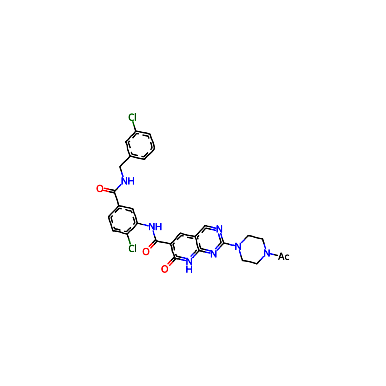 CC(=O)N1CCN(c2ncc3cc(C(=O)Nc4cc(C(=O)NCc5cccc(Cl)c5)ccc4Cl)c(=O)[nH]c3n2)CC1